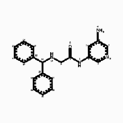 Nc1cncc(NC(=O)CNC(c2ccccc2)c2ccccc2)c1